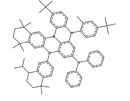 Cc1cc(C(C)(C)C)ccc1N1c2ccc(C(C)(C)C)cc2B2c3cc4c(cc3N(c3ccc5c(c3)C(C(C)C)CCC5(C)C)c3cc(N(c5ccccc5)c5ccccc5)cc1c32)C(C)(C)CCC4(C)C